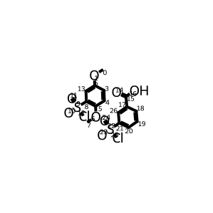 COc1ccc(OC)c(S(=O)(=O)Cl)c1.O=C(O)c1cccc(S(=O)(=O)Cl)c1